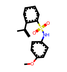 C=C(C)c1ccccc1S(=O)(=O)Nc1ccc(OC)cc1